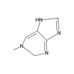 CN1C=c2[nH]cnc2=NC1